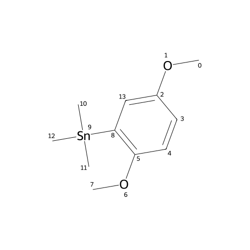 COc1ccc(OC)[c]([Sn]([CH3])([CH3])[CH3])c1